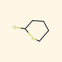 [S]C1CCCCS1